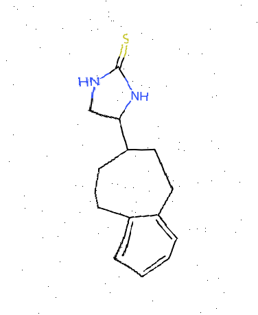 S=C1NCC(C2CCc3ccccc3CC2)N1